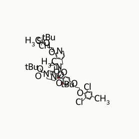 Cc1cc(Cl)c(OCCOc2ccc(C3=C(C(=O)N(Cc4ccnc(OCCO[Si](C)(C)C(C)(C)C)c4C)C4CC4)[C@H]4CN(C(=O)OC(C)(C)C)CC(C3)N4C(=O)OC(C)(C)C)cc2)c(Cl)c1